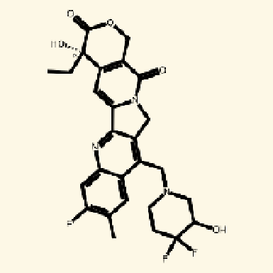 CC[C@@]1(O)C(=O)OCc2c1cc1n(c2=O)Cc2c-1nc1cc(F)c(C)cc1c2CN1CCC(F)(F)C(O)C1